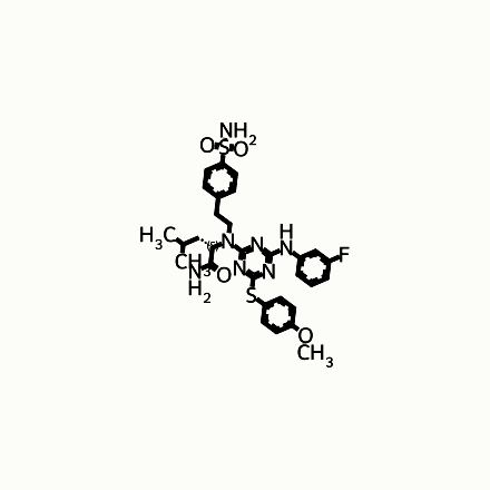 COc1ccc(Sc2nc(Nc3cccc(F)c3)nc(N(CCc3ccc(S(N)(=O)=O)cc3)[C@@H](CC(C)C)C(N)=O)n2)cc1